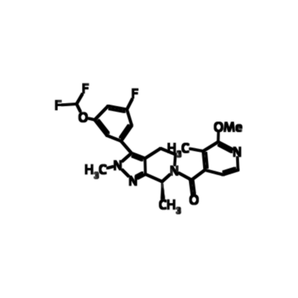 COc1nccc(C(=O)N2CCc3c(nn(C)c3-c3cc(F)cc(OC(F)F)c3)[C@@H]2C)c1C